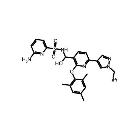 Cc1cc(C)c(Oc2nc(-c3cnn(CC(C)C)c3)ccc2C(O)NS(=O)(=O)c2cccc(N)n2)c(C)c1